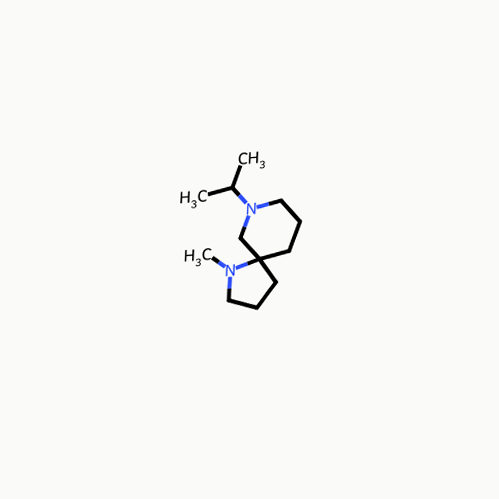 CC(C)N1CCCC2(CCCN2C)C1